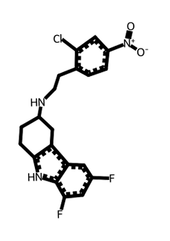 O=[N+]([O-])c1ccc(CCNC2CCc3[nH]c4c(F)cc(F)cc4c3C2)c(Cl)c1